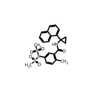 Cc1ccc(N(S(C)(=O)=O)S(C)(=O)=O)cc1C(=O)NC1(c2cccc3ccccc23)CC1